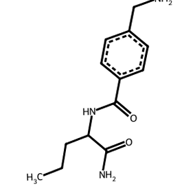 CCCC(NC(=O)c1ccc(CN)cc1)C(N)=O